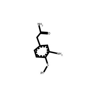 CC(C)Sc1ccc(CC(N)=O)cc1N